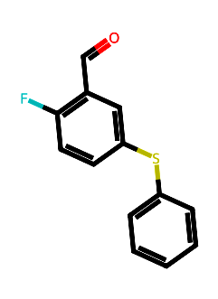 O=Cc1cc(Sc2ccccc2)ccc1F